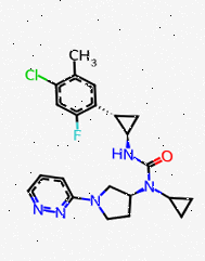 Cc1cc([C@@H]2C[C@H]2NC(=O)N(C2CC2)[C@H]2CCN(c3cccnn3)C2)c(F)cc1Cl